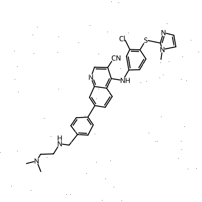 CN(C)CCNCc1ccc(-c2ccc3c(Nc4ccc(Sc5nccn5C)c(Cl)c4)c(C#N)cnc3c2)cc1